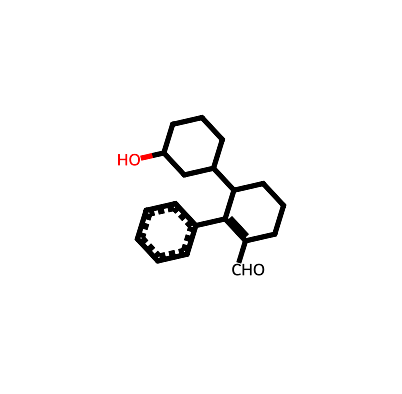 O=CC1=C(c2ccccc2)C(C2CCCC(O)C2)CCC1